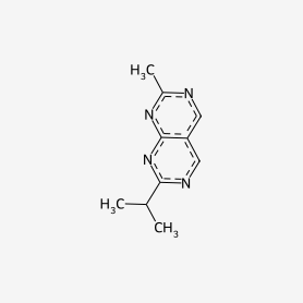 Cc1ncc2cnc(C(C)C)nc2n1